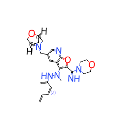 C=C/C=C\C(=C)NN(C)c1c(C(=N)N2CCOCC2)oc2ncc(CN3C[C@@H]4C[C@H]3CO4)cc12